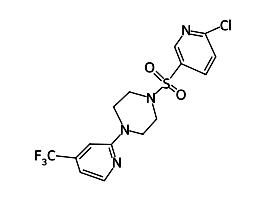 O=S(=O)(c1ccc(Cl)nc1)N1CCN(c2cc(C(F)(F)F)ccn2)CC1